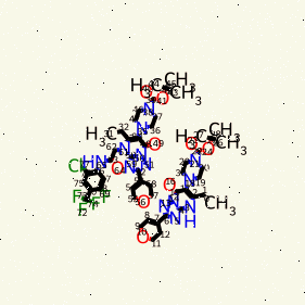 CCc1[nH]c2nc(C3=CCOCC3)nn2c(=O)c1N1CCN(C(=O)OC(C)(C)C)CC1.CCc1c(N2CCN(C(=O)OC(C)(C)C)CC2)c(=O)n2nc(C3=CCOCC3)nc2n1CC(=O)Nc1cc(F)c(C(F)(F)F)cc1Cl